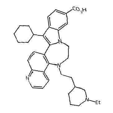 CCN1CCCC(CCN2CCn3c(c(C4CCCCC4)c4ccc(C(=O)O)cc43)-c3ccc4ncccc4c32)C1